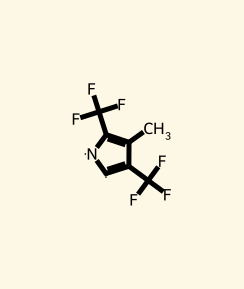 CC1=C(C(F)(F)F)[N][C]=C1C(F)(F)F